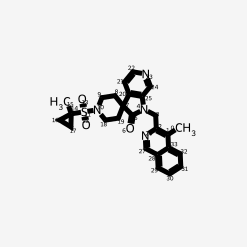 Cc1c(CN2C(=O)C3(CCN(S(=O)(=O)C4(C)CC4)CC3)c3ccncc32)ncc2ccccc12